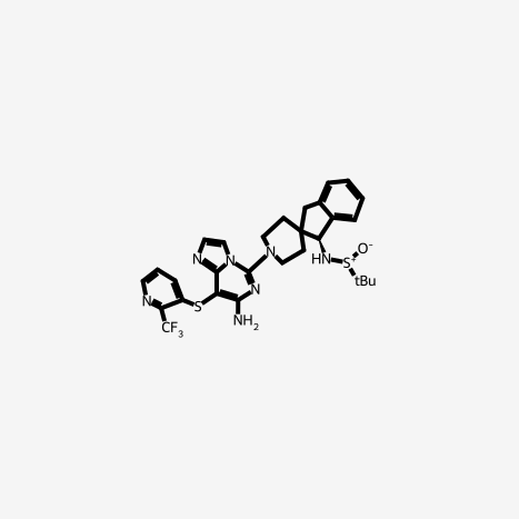 CC(C)(C)[S+]([O-])N[C@@H]1c2ccccc2CC12CCN(c1nc(N)c(Sc3cccnc3C(F)(F)F)c3nccn13)CC2